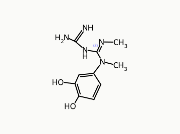 C/N=C(/NC(=N)N)N(C)c1ccc(O)c(O)c1